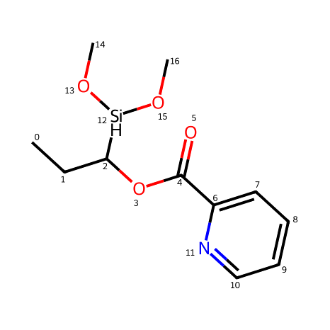 CCC(OC(=O)c1ccccn1)[SiH](OC)OC